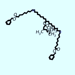 CC(CC(=O)OC(CCCCCCCC/C=C\CCCCCCCC(=O)OCc1ccccc1)CCCCCCCC/C=C\CCCCCCCC(=O)OCc1ccccc1)C(C)CN(C)C